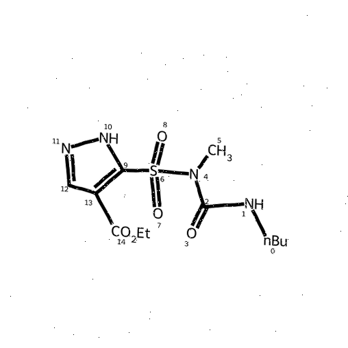 CCCCNC(=O)N(C)S(=O)(=O)c1[nH]ncc1C(=O)OCC